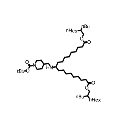 CCCCCCC(CCCC)COC(=O)CCCCCCCCC(CCCCCCCCC(=O)OCC(CCCC)CCCCCC)NCC1CCN(C(=O)OC(C)(C)C)CC1